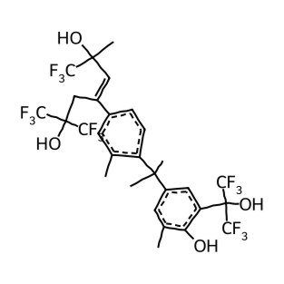 Cc1cc(/C(=C/C(C)(O)C(F)(F)F)CC(O)(C(F)(F)F)C(F)(F)F)ccc1C(C)(C)c1cc(C)c(O)c(C(O)(C(F)(F)F)C(F)(F)F)c1